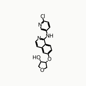 O[C@@H]1COC[C@@H]1Oc1ccc2c(Nc3ccc(Cl)nc3)nccc2c1